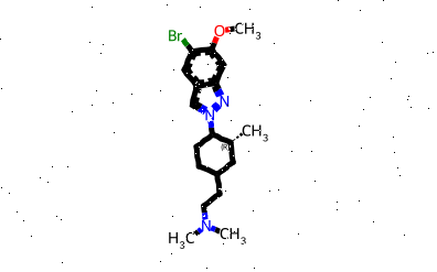 COc1cc2nn(C3CCC(CCN(C)C)C[C@H]3C)cc2cc1Br